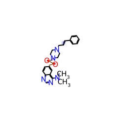 CN(C)c1ncnc2ccc(S(=O)(=O)N3CCN(C/C=C/c4ccccc4)CC3)cc12